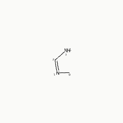 C/N=C\[NH]